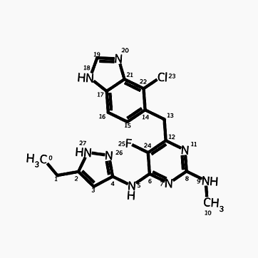 CCc1cc(Nc2nc(NC)nc(Cc3ccc4[nH]cnc4c3Cl)c2F)n[nH]1